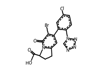 O=C(O)C1CCc2cc(-c3cc(Cl)ccc3-n3cnnn3)c(Br)c(=O)n21